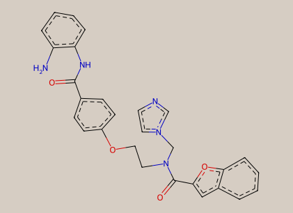 Nc1ccccc1NC(=O)c1ccc(OCCN(Cn2ccnc2)C(=O)c2cc3ccccc3o2)cc1